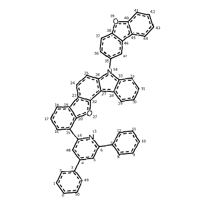 c1ccc(-c2cc(-c3ccccc3)nc(-c3cccc4c3oc3c4ccc4c3c3ccccc3n4-c3ccc4oc5ccccc5c4c3)c2)cc1